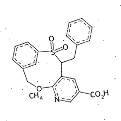 C.O=C(O)c1cnc2c(c1)C(Cc1ccccc1)S(=O)(=O)c1cccc(c1)CO2